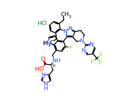 CCc1cccc(CC)c1-n1nc2c(c1-c1c(F)cc(CN[C@@H](Cc3c[nH]cn3)C(=O)O)c3[nH]ccc13)CN(c1ncc(C(F)(F)F)cn1)CC2.Cl